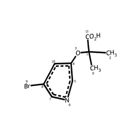 CC(C)(Oc1cncc(Br)c1)C(=O)O